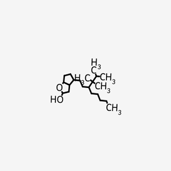 CCCCCC(CCC1CCC2OC(O)CC12)C(C)(C)C(C)C